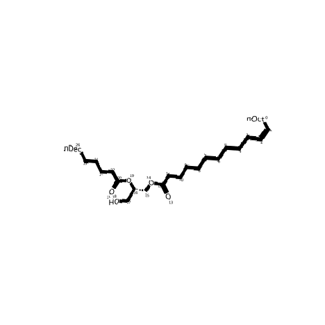 CCCCCCCC/C=C\CCCCCCCCCC(=O)OC[C@H](CO)OC(=O)CCCCCCCCCCCCCC